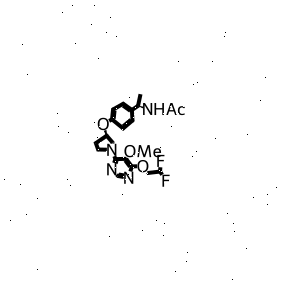 COc1c(OCC(F)F)ncnc1N1CC[C@@H](Oc2ccc([C@H](C)NC(C)=O)cc2)C1